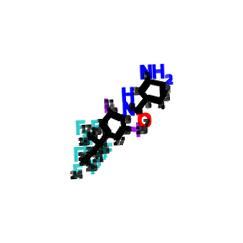 Nc1cccc(C(=O)Nc2c(I)cc(C(F)(C(F)(F)F)C(F)(F)C(F)(F)F)cc2I)c1